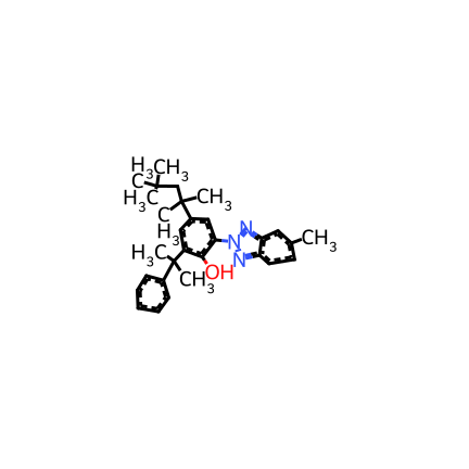 Cc1ccc2nn(-c3cc(C(C)(C)CC(C)(C)C)cc(C(C)(C)c4ccccc4)c3O)nc2c1